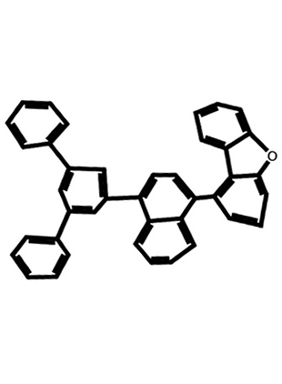 c1ccc(-c2cc(-c3ccccc3)cc(-c3ccc(-c4cccc5oc6ccccc6c45)c4ccccc34)c2)cc1